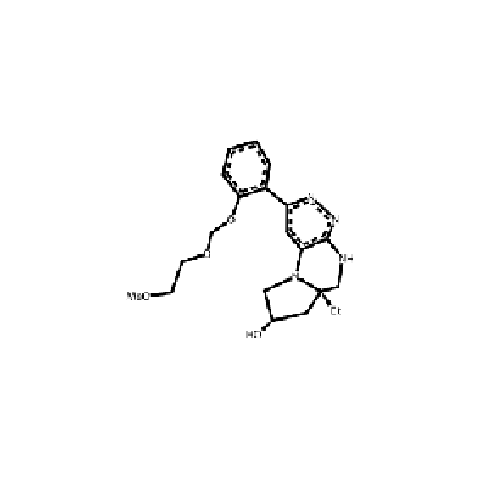 CC[C@]12CNc3nnc(-c4ccccc4OCOCCOC)cc3N1C[C@H](O)C2